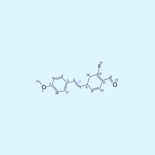 COc1ccc(/C=C/C2C=CC(C=O)=C(F)C2)cc1